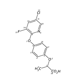 CC(Oc1ccc(Oc2ncc(Cl)cc2F)cc1)C(=O)O